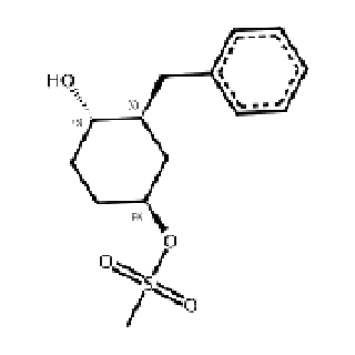 CS(=O)(=O)O[C@H]1CC[C@H](O)[C@@H](Cc2ccccc2)C1